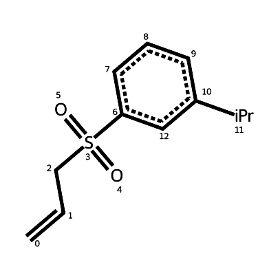 C=CCS(=O)(=O)c1cccc(C(C)C)c1